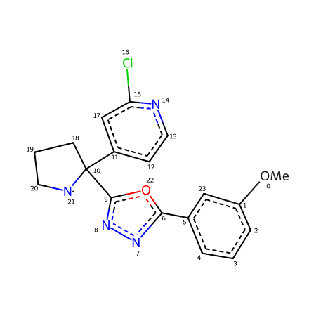 COc1cccc(-c2nnc(C3(c4ccnc(Cl)c4)CCC[N]3)o2)c1